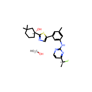 Cc1cc(Nc2nccc([C@H](C)F)n2)cc(-c2cnc([C@@]3(O)CCCC(C)(C)C3)s2)c1.O=C(O)O